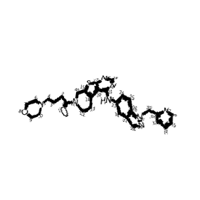 O=C(C=CCN1CCOCC1)N1CCc2c(sc3ncnc(Nc4ccc5c(cnn5Cc5ccccn5)c4)c23)C1